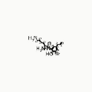 C=CCc1cc(Br)c(O)c(NC(=O)[C@@H](N)CCCCN)c1